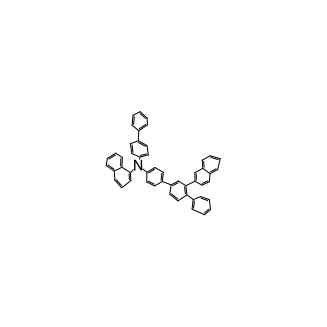 c1ccc(-c2ccc(N(c3ccc(-c4ccc(-c5ccccc5)c(-c5ccc6ccccc6c5)c4)cc3)c3cccc4ccccc34)cc2)cc1